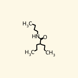 CCCCNC(=O)C(CCC)CCC